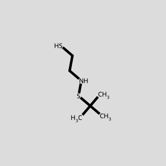 CC(C)(C)SNCCS